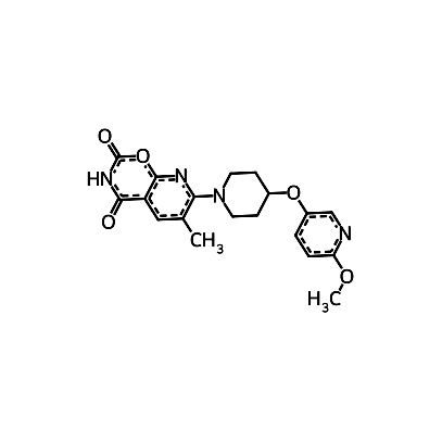 COc1ccc(OC2CCN(c3nc4oc(=O)[nH]c(=O)c4cc3C)CC2)cn1